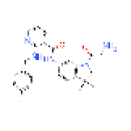 CC1(C)CN(C(=O)CN)c2cc(NC(=O)c3cccnc3NCc3ccc(F)cc3)ccc21